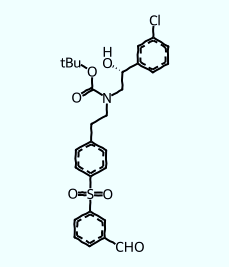 CC(C)(C)OC(=O)N(CCc1ccc(S(=O)(=O)c2cccc(C=O)c2)cc1)C[C@H](O)c1cccc(Cl)c1